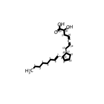 CCCCCCC=C[C@H]1C=CC[C@@H]1CC=C=CCC(O)C(=O)O